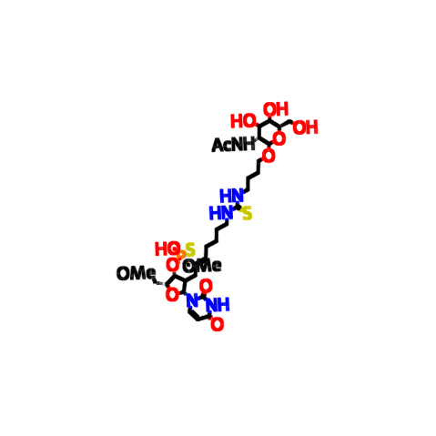 COC[C@H]1O[C@@H](n2ccc(=O)[nH]c2=O)C(C/C=C/CCCCNC(=S)NCCCCO[C@@H]2O[C@H](CO)[C@H](O)[C@H](O)[C@H]2NC(C)=O)[C@H]1OP(O)(=S)OC